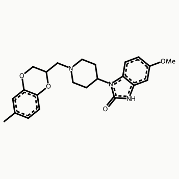 COc1ccc2c(c1)[nH]c(=O)n2C1CCN(CC2COc3cc(C)ccc3O2)CC1